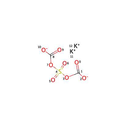 O=C([O-])OS(=O)(=O)OC(=O)[O-].[K+].[K+]